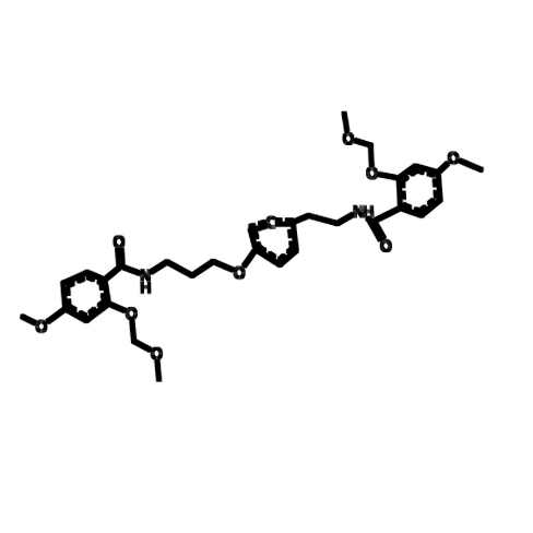 COCOc1cc(OC)ccc1C(=O)NCCCOc1ccc(CCNC(=O)c2ccc(OC)cc2OCOC)cc1